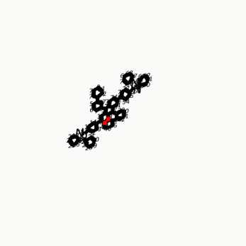 c1ccc(-c2cccc(-c3c4cc(-c5ccc(-c6nc7ccccc7n6-c6ccccc6)cc5)ccc4c(-c4ccccc4-c4ccccc4)c4cc(-c5ccc(-c6nc7ccccc7n6-c6ccccc6)cc5)ccc34)c2)cc1